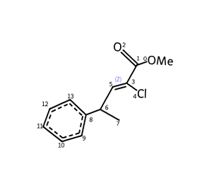 COC(=O)/C(Cl)=C/C(C)c1ccccc1